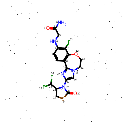 NC(=O)CNc1ccc2c(c1F)OCCn1cc(N3C(=O)SCC3C(F)F)nc1-2